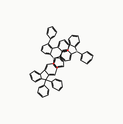 c1ccc(-c2ccccc2-c2c(-c3ccccc3)cccc2N(c2ccc3c(c2)-c2ccccc2C3(c2ccccc2)c2ccccc2)c2ccc3c(c2)c2ccccc2n3-c2ccccc2)cc1